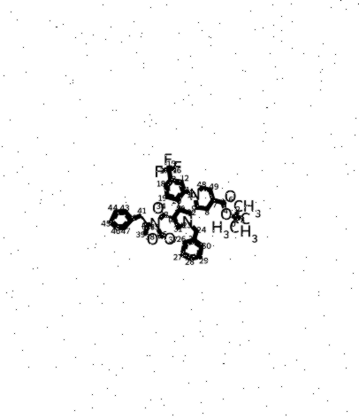 CC(C)(C)OC(=O)C1CCN(c2cc(C(F)(F)F)ccc2[C@@H]2CN(Cc3ccccc3)C[C@H]2C(=O)N2C(=O)OC[C@H]2Cc2ccccc2)CC1